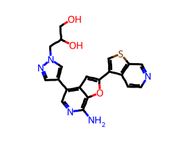 Nc1ncc(-c2cnn(CC(O)CO)c2)c2cc(-c3csc4cnccc34)oc12